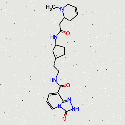 CN1CC=CCC1CC(=O)NC1CCC(CCNC(=O)c2cccn3c(=O)[nH]nc23)C1